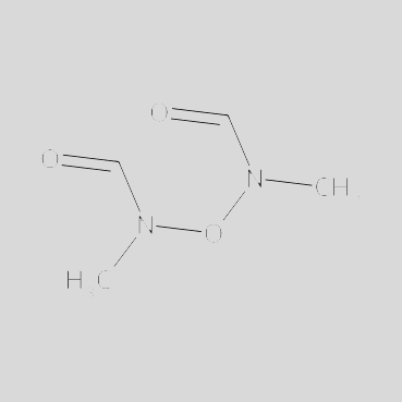 CN(C=O)ON(C)C=O